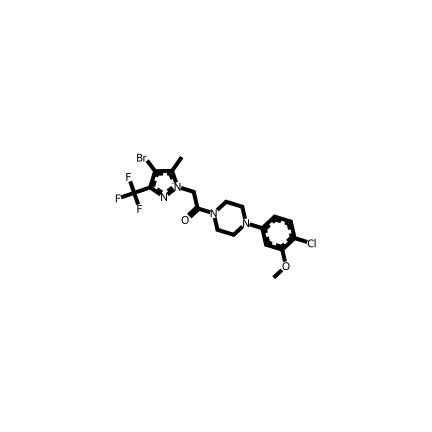 COc1cc(N2CCN(C(=O)Cn3nc(C(F)(F)F)c(Br)c3C)CC2)ccc1Cl